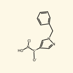 [O-][S+](c1cnn(Cc2ccccc2)c1)N(O)Cl